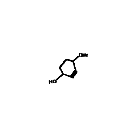 COC1C#CC(O)CC1